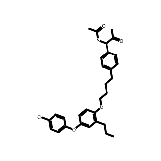 CCCc1cc(Oc2ccc(Cl)cc2)ccc1OCCCCc1ccc(C(SC(C)=O)C(C)=O)cc1